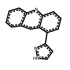 c1ccc2nc3cccc(-c4cc[nH]n4)c3cc2c1